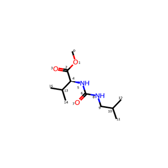 COC(=O)[C@@H](NC(=O)NCC(C)C)C(C)C